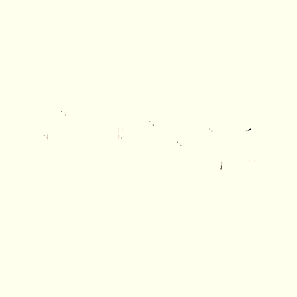 OC[C@@H]1[C@@H](O)[C@H](O)[C@@H](O)CN1Cc1cnc(CNc2cc(-c3ncccn3)cc(C3CC3)c2)cn1